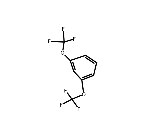 FC(F)(F)Oc1[c]ccc(OC(F)(F)F)c1